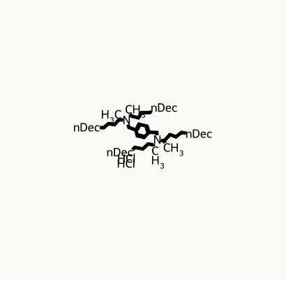 CCCCCCCCCCCCCC(C)N(Cc1ccc(CN(C(C)CCCCCCCCCCCCC)C(C)CCCCCCCCCCCCC)cc1)C(C)CCCCCCCCCCCCC.Cl.Cl